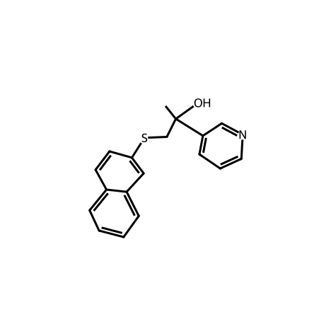 CC(O)(CSc1ccc2ccccc2c1)c1cccnc1